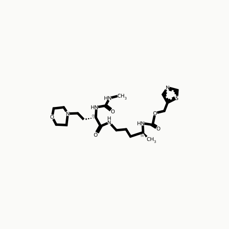 CNC(=O)N[C@@H](CCN1CCOCC1)C(=O)NCCC[C@H](C)NC(=O)OCc1cncs1